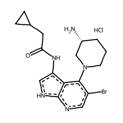 Cl.N[C@@H]1CCCN(c2c(Br)cnc3[nH]cc(NC(=O)CC4CC4)c23)C1